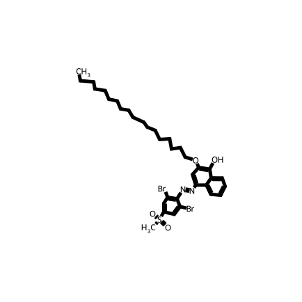 CCCCCCCCCCCCCCCCCCOc1cc(N=Nc2c(Br)cc(S(C)(=O)=O)cc2Br)c2ccccc2c1O